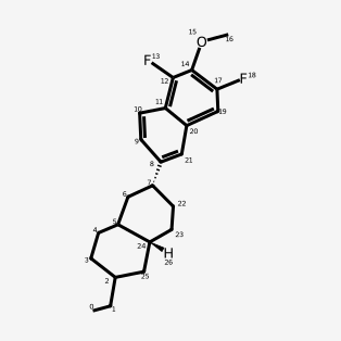 CCC1CCC2C[C@H](c3ccc4c(F)c(OC)c(F)cc4c3)CC[C@@H]2C1